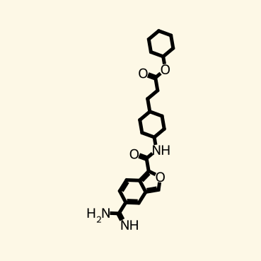 N=C(N)c1ccc2c(C(=O)NC3CCC(CCC(=O)OC4CCCCC4)CC3)occ2c1